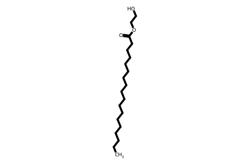 CCCCCCCCCCCCCCCCCC(=O)OCCO